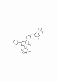 CC(C)CC(C(=O)O)c1cc(-c2ccccc2)cc(C2CCN(Cc3cc(F)cc(C(F)(F)F)c3)CC2)c1C(F)(F)F